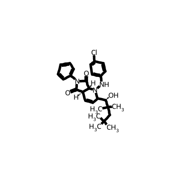 CC(C)(C)CC(C)(C)[C@@H](O)C1C=C[C@H]2C(=O)N(c3ccccc3)C(=O)[C@H]2N1Nc1ccc(Cl)cc1